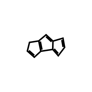 C1=CC2=CC3=C(C=CC3)C2=C1